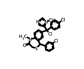 CN1C(=O)CSC(c2cccc(Cl)c2)c2cc(C(Cl)(c3ccc(Cl)cc3)c3cncn3C)ccc21